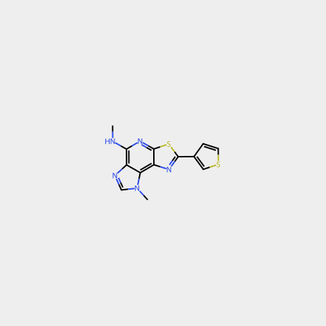 CNc1nc2sc(-c3ccsc3)nc2c2c1ncn2C